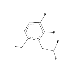 CCc1ccc(F)c(F)c1CC(F)F